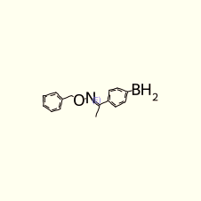 Bc1ccc(/C(C)=N/OCc2ccccc2)cc1